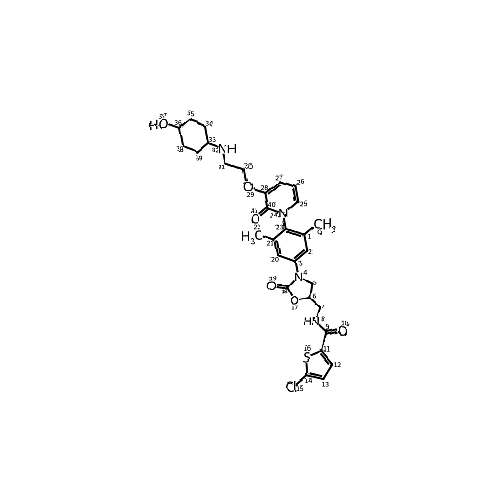 Cc1cc(N2CC(CNC(=O)c3ccc(Cl)s3)OC2=O)cc(C)c1-n1cccc(OCCNC2CCC(O)CC2)c1=O